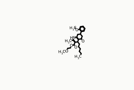 CCCCCCC1C(C(=O)OCCOC)=C(C)NC2=C1C(=O)CC(c1ccccc1OC)C2